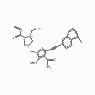 C=CC(=O)N1C[C@@H](Cn2nc(C#Cc3ccc4c(C)ccnc4c3)c(C(N)=O)c2NC)C[C@@H]1COC